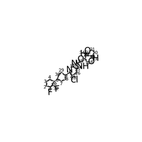 Fc1cccc(-c2ccc(-c3nc4nc(OC5CO[C@@H]6CCO[C@H]56)[nH]c4cc3Cl)cc2)c1F